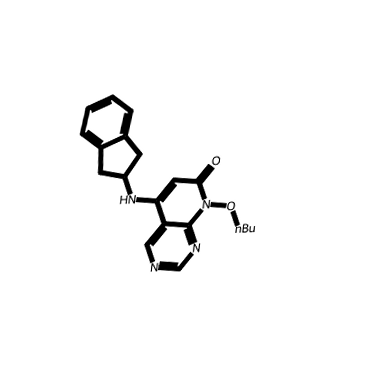 CCCCOn1c(=O)cc(NC2Cc3ccccc3C2)c2cncnc21